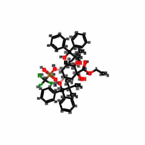 CCOC(=O)[C@]1(O)C[C@H](O[Si](c2ccccc2)(c2ccccc2)C(C)(C)C)[C@H](OS(=O)(=O)C(F)(F)F)[C@H](O[Si](c2ccccc2)(c2ccccc2)C(C)(C)C)[C@H]1O